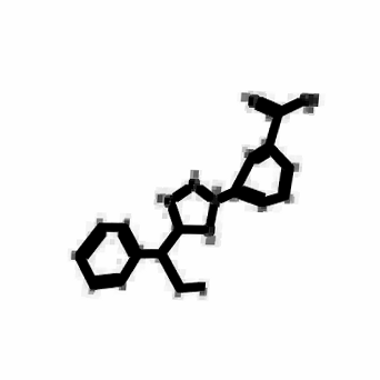 CCC(c1ccccc1)C1OON(c2cccc(C(=O)O)c2)O1